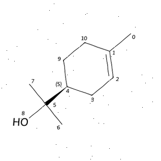 CC1=CC[C@@H](C(C)(C)O)CC1